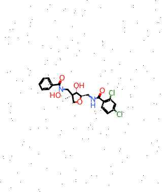 C[C@@]1(CN(O)C(=O)c2ccccc2)CO[C@H](CNC(=O)c2ccc(Cl)cc2Cl)[C@H]1O